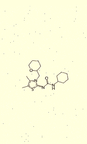 Cc1sc(=NC(=O)NC2CCCCC2)n(CC2CCCCO2)c1C